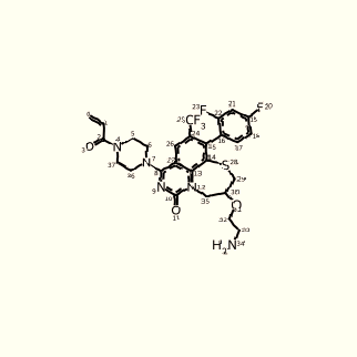 C=CC(=O)N1CCN(c2nc(=O)n3c4c(c(-c5ccc(F)cc5F)c(C(F)(F)F)cc24)SCC(OCCN)C3)CC1